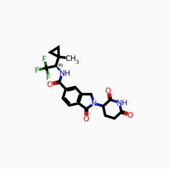 CC1([C@@H](NC(=O)c2ccc3c(c2)CN(C2CCC(=O)NC2=O)C3=O)C(F)(F)F)CC1